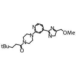 COCC1=NC(c2ccnc(N3CCN(C(=O)CCC(C)(C)C)CC3)c2)=NC1